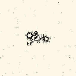 CCSc1ccccc1S(=O)(=O)NC(=O)N1CCC=N1